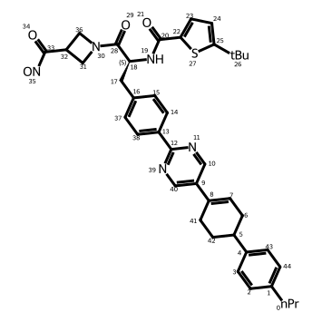 CCCc1ccc(C2CC=C(c3cnc(-c4ccc(C[C@H](NC(=O)c5ccc(C(C)(C)C)s5)C(=O)N5CC(C(=O)N=O)C5)cc4)nc3)CC2)cc1